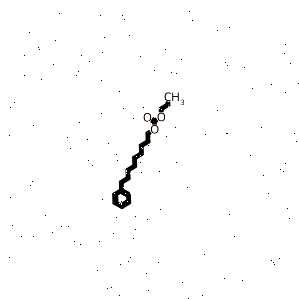 CCCOC(=O)OCCCCCCCCCc1ccccc1